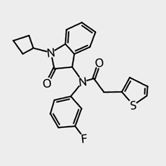 O=C1C(N(C(=O)Cc2cccs2)c2cccc(F)c2)c2ccccc2N1C1CCC1